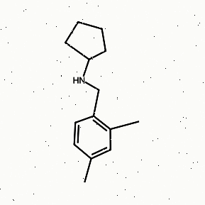 Cc1ccc(CNC2CCCC2)c(C)c1